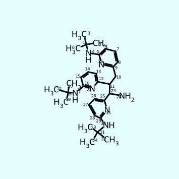 CC(C)(C)Nc1cccc(CC(c2cccc(NC(C)(C)C)n2)C(N)c2cccc(NC(C)(C)C)n2)n1